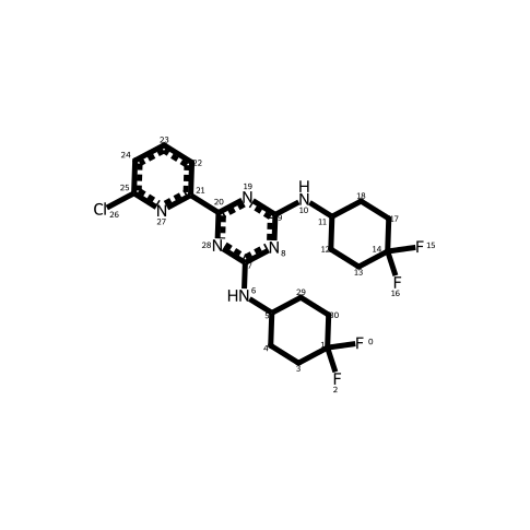 FC1(F)CCC(Nc2nc(NC3CCC(F)(F)CC3)nc(-c3cccc(Cl)n3)n2)CC1